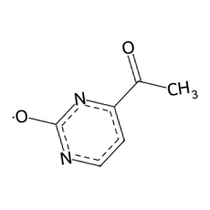 CC(=O)c1ccnc([O])n1